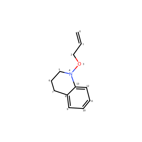 C=CCON1CCCc2ccccc21